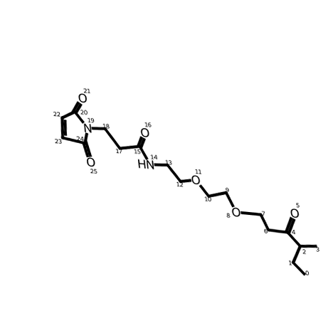 CCC(C)C(=O)CCOCCOCCNC(=O)CCN1C(=O)C=CC1=O